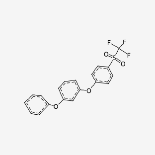 O=S(=O)(c1ccc(Oc2cccc(Oc3ccccc3)c2)cc1)C(F)(F)F